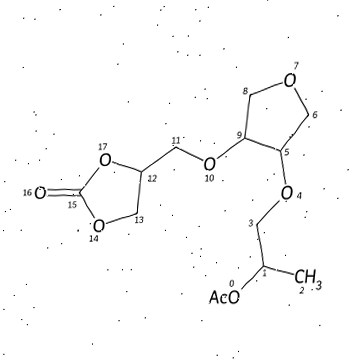 CC(=O)OC(C)COC1COCC1OCC1COC(=O)O1